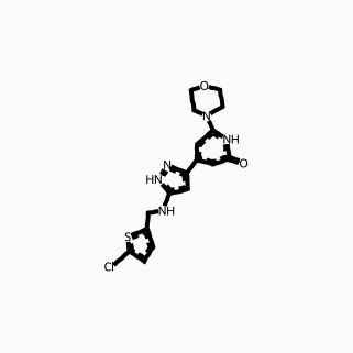 O=c1cc(-c2cc(NCc3ccc(Cl)s3)[nH]n2)cc(N2CCOCC2)[nH]1